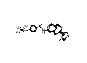 [2H]C([2H])([2H])Oc1ccc(C(=O)Nc2cc3cc(-c4cncn4C)ncc3cn2)cc1